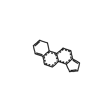 [C]1=CCc2c(ccc3c4c(ccc23)=CC=C4)=C1